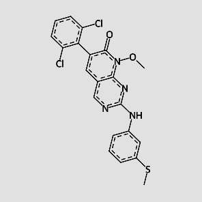 COn1c(=O)c(-c2c(Cl)cccc2Cl)cc2cnc(Nc3cccc(SC)c3)nc21